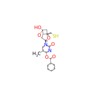 Cc1cn([C@@H]2O[C@@]3(CS)CC4(O)OC2C43)c(=O)nc1OC(=O)c1ccccc1